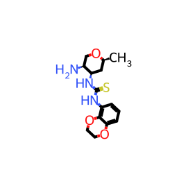 C[C@H]1C[C@@H](NC(=S)Nc2cccc3c2OCCO3)[C@@H](N)CO1